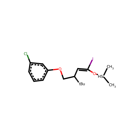 C[SiH](C)O/C(I)=C\C(COc1cccc(Cl)c1)C(C)(C)C